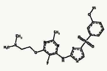 CCOc1cccc(S(=O)(=O)c2cnc(Nc3nc(C)nc(OCCN(C)C)c3F)s2)c1